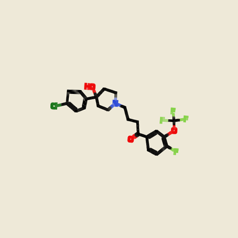 O=C(CCCN1CCC(O)(c2ccc(Cl)cc2)CC1)c1ccc(F)c(OC(F)(F)F)c1